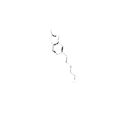 CCCCCCc1ccc2sc([O])nc2c1